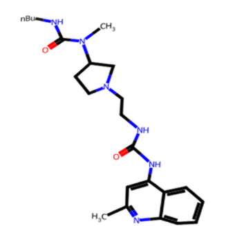 CCCCNC(=O)N(C)C1CCN(CCNC(=O)Nc2cc(C)nc3ccccc23)C1